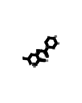 CC(C)CC(NC(=O)N1CCOCC1)C(=O)O